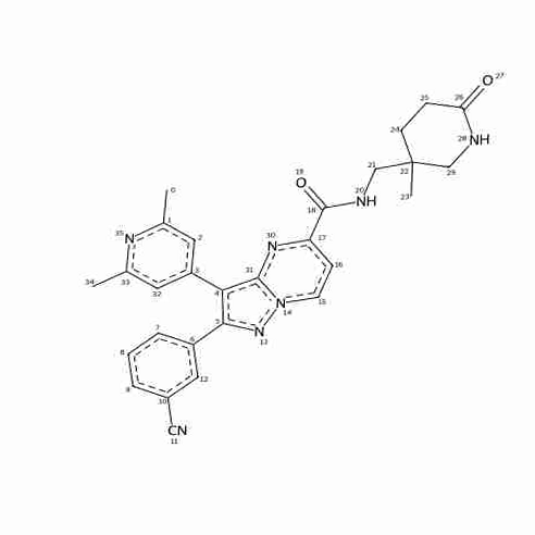 Cc1cc(-c2c(-c3cccc(C#N)c3)nn3ccc(C(=O)NCC4(C)CCC(=O)NC4)nc23)cc(C)n1